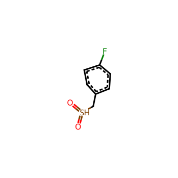 O=[SH](=O)Cc1ccc(F)cc1